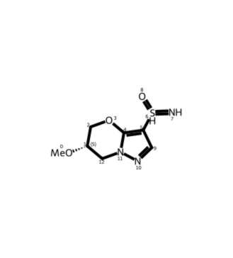 CO[C@@H]1COc2c([SH](=N)=O)cnn2C1